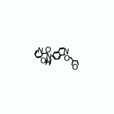 O=C(Nc1ccc2c(OCC3CCOC3)nccc2c1)c1ncccc1O